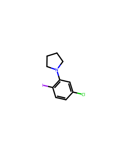 Clc1ccc(I)c(N2CCCC2)c1